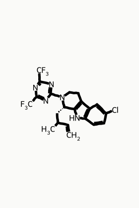 C=CC(C)C[C@H]1c2[nH]c3ccc(Cl)cc3c2CCN1c1nc(C(F)(F)F)nc(C(F)(F)F)n1